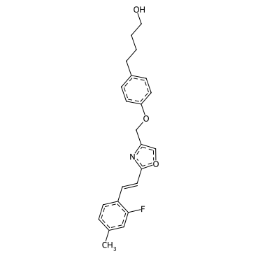 Cc1ccc(/C=C/c2nc(COc3ccc(CCCCO)cc3)co2)c(F)c1